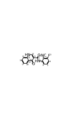 N#Cc1c(F)cccc1NC(=O)c1c[nH]c2ccccc2c1=O